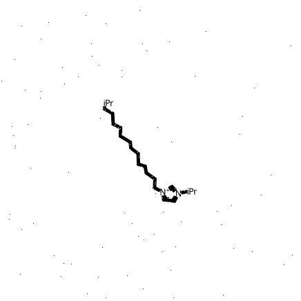 CC(C)CCCCCCCCCCCCC[n+]1ccn(C(C)C)c1